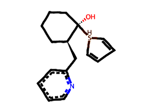 O[C@@]1([SH]2C=CC=C2)CCCC[C@@H]1Cc1ccccn1